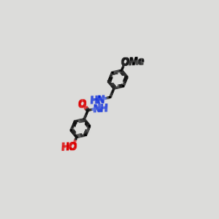 COc1ccc(CNNC(=O)c2ccc(O)cc2)cc1